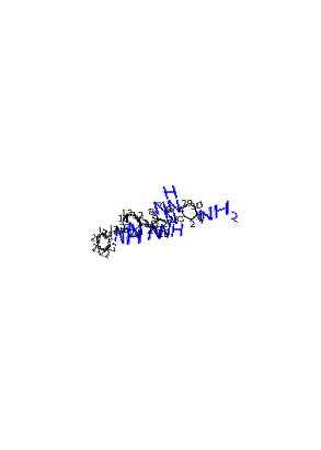 N[C@H]1CC[C@H](Nc2ncc3c(-c4cccc(NCc5ccccc5)n4)n[nH]c3n2)CC1